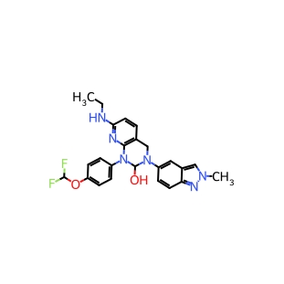 CCNc1ccc2c(n1)N(c1ccc(OC(F)F)cc1)C(O)N(c1ccc3nn(C)cc3c1)C2